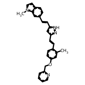 Cc1cc(OCc2ccccn2)ccc1/C=C/c1cc(/C=C/c2ccc3ccn(C)c3c2)[nH]n1